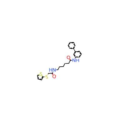 O=C(CSc1cccs1)NCCCCCC(=O)Nc1cccc(-c2ccccc2)c1